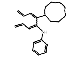 C=C/C=C(\C(=C/C=C)Nc1ccccc1)C1CCCCCCC1